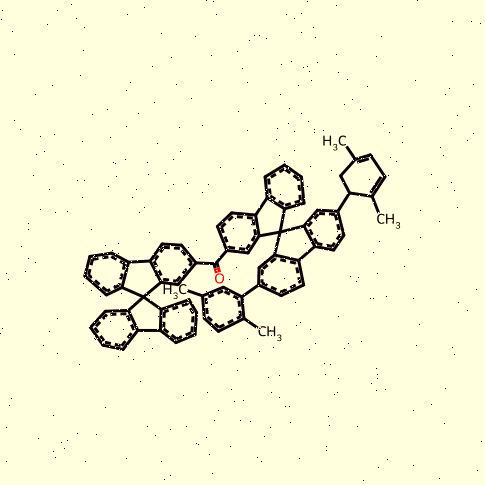 CC1=CC=C(C)C(c2ccc3c(c2)C2(c4ccccc4-c4ccc(C(=O)c5ccc6c(c5)C5(c7ccccc7-c7ccccc75)c5ccccc5-6)cc42)c2cc(-c4cc(C)ccc4C)ccc2-3)C1